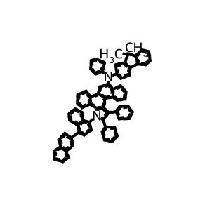 CC1(C)c2ccccc2-c2ccc(N(c3ccccc3)c3cc4c5ccccc5c5c(c(-c6ccccc6)c(-c6ccccc6)n5-c5ccc(-c6ccc7ccccc7c6)c6ccccc56)c4c4ccccc34)cc21